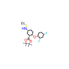 CCSNc1ccc(Oc2ccc(F)cc2F)c(B2OC(C)(C)C(C)(C)O2)c1